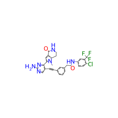 Cn1c(-c2nc(N)ncc2C#Cc2cccc(CC(=O)Nc3ccc(Cl)c(C(F)(F)F)c3)c2)cc2c1CCNC2=O